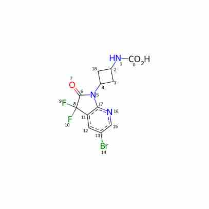 O=C(O)NC1CC(N2C(=O)C(F)(F)c3cc(Br)cnc32)C1